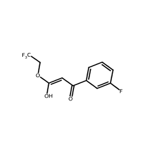 O=C(/C=C(\O)OCC(F)(F)F)c1cccc(F)c1